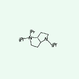 CC(C)N1CCC2C1CC[N+]2(C(C)C)C(C)C